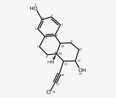 Oc1ccc2c(c1)CC[C@@H]1C2CCC(O)C1C#CCl